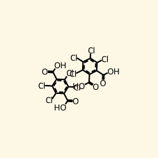 O=C(O)c1c(Cl)c(Cl)c(C(=O)O)c(Cl)c1Cl.O=C(O)c1c(Cl)c(Cl)c(Cl)c(Cl)c1C(=O)O